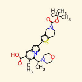 Cc1c(C(=O)O)cc2cc(-c3cc4c(s3)CCN(C(=O)OC(C)(C)C)C4)cn2c1C(C)N1CCOCC1